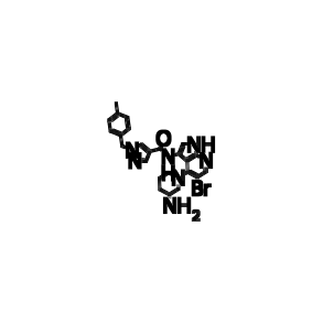 Cc1ccc(Cn2cc(C(=O)Nc3c[nH]c4ncc(Br)c(N5CCC[C@@H](N)C5)c34)cn2)cc1